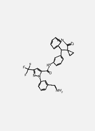 NCc1cccc(-n2nc(C(F)(F)F)cc2C(=O)Nc2cccc(C(c3ccccc3)C3(C(N)=O)CC3)c2)c1